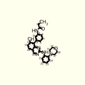 C=CC(=O)Nc1cccc(-c2c(C)ccc3cnc(Nc4ccccc4N4CCOCC4)nc23)c1